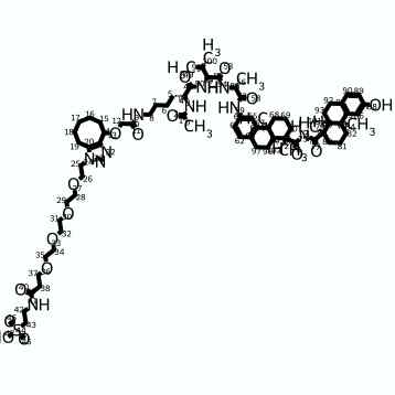 CC(=O)N[C@H](CCCCNC(=O)COC1CCCCCc2c1nnn2CCOCCOCCOCCOCCC(=O)NCCS(=O)(=O)O)C(=O)N[C@H](C(=O)N[C@@H](C)C(=O)Nc1ccc2c(c1)[C@@]1(C)CCC[C@](C)(C(=O)NC(=O)[C@@]3(C)CCC[C@]4(C)c5cc(O)ccc5CC[C@@H]34)[C@@H]1CC2)C(C)C